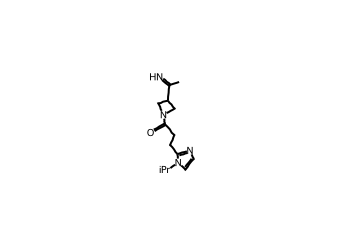 CC(=N)C1CN(C(=O)CCc2nccn2C(C)C)C1